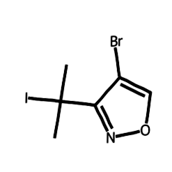 CC(C)(I)c1nocc1Br